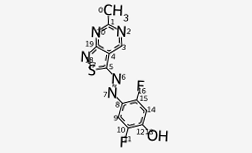 Cc1ncc2c(/N=N/c3cc(F)c(O)cc3F)snc2n1